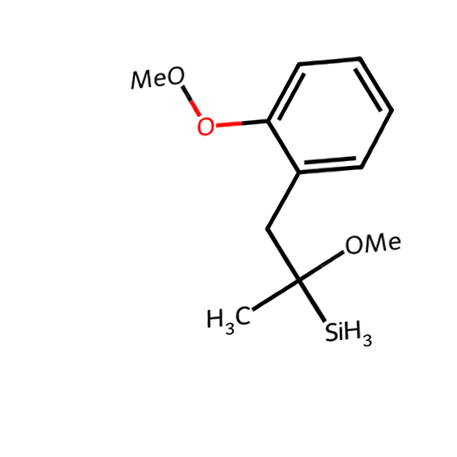 COOc1ccccc1CC(C)([SiH3])OC